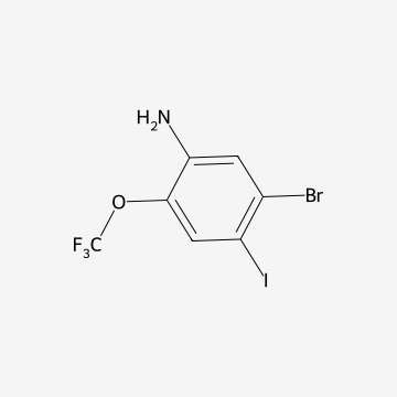 Nc1cc(Br)c(I)cc1OC(F)(F)F